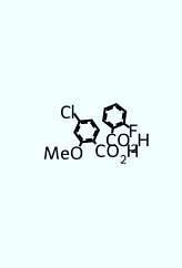 COc1cc(Cl)ccc1C(=O)O.O=C(O)c1ccccc1F